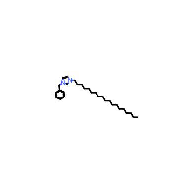 CCCCCCCCCCCCCCCCCCCN1C=CN(Cc2ccccc2)C1